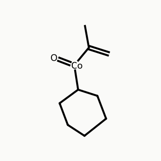 C=[C](C)[Co](=[O])[CH]1CCCCC1